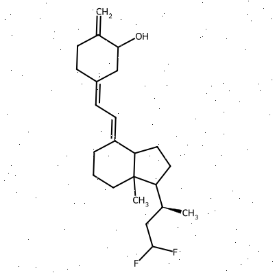 C=C1CC/C(=C/C=C2\CCCC3(C)C2CCC3[C@@H](C)CC(F)F)CC1O